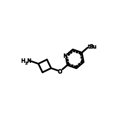 CC(C)(C)c1ccc(OC2CC(N)C2)nc1